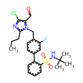 CCCc1nc(Cl)c(C=O)n1Cc1ccc(-c2ccccc2S(=O)(=O)NC(C)(C)C)cc1F